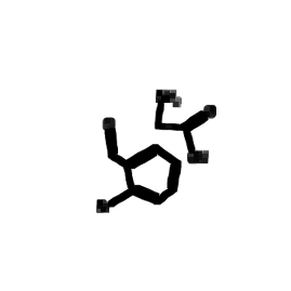 NCC(=O)O.O=Cc1ccccc1Br